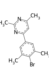 Cc1cc(-c2cc(C)c(Br)c(C)c2)nc(C)n1